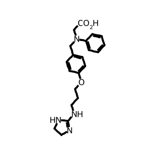 O=C(O)CN(Cc1ccc(OCCCNC2=NCCN2)cc1)c1ccccc1